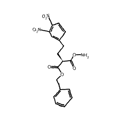 NOC(=O)[C@H](CCc1ccc([N+](=O)[O-])c([N+](=O)[O-])c1)C(=O)OCc1ccccc1